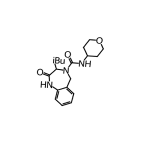 CCC(C)C1C(=O)Nc2ccccc2CN1C(=O)NC1CCOCC1